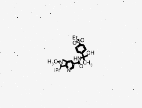 CCS(=O)(=O)c1ccc(C(C)(CO)NC(=O)c2cnc3c(c2)CN(C)[C@@H]3C(C)C)cc1